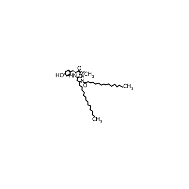 CCCCCCCCCCCCCCCC(=O)NC(CCCCCCCCCCCCCCC)CC(=O)N[C@@H](Cc1ccc(O)cc1)C(=O)OCC